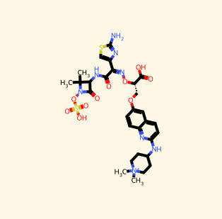 CC1(C)C(NC(=O)/C(=N\O[C@@H](COc2ccc3nc(NC4CC[N+](C)(C)CC4)ccc3c2)C(=O)O)c2csc(N)n2)C(=O)N1OS(=O)(=O)O